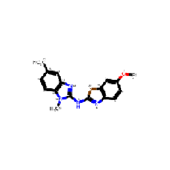 CCOc1ccc2nc(Nc3nc4cc(C(=O)O)ccc4n3C)sc2c1